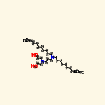 CCCCCCCCCCCCCCCCCCN(CCCCCCCCCCCCCCCCCC)CCCN(CCO)CCO